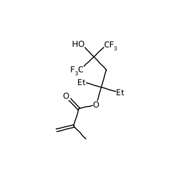 C=C(C)C(=O)OC(CC)(CC)CC(O)(C(F)(F)F)C(F)(F)F